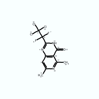 Cc1cc2nc(C(F)(F)C(Cl)(Cl)Cl)[nH]c(=O)c2c(C)n1